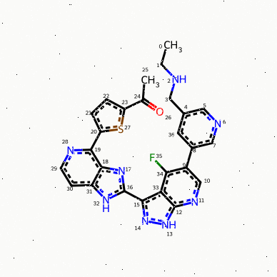 CCNCc1cncc(-c2cnc3[nH]nc(-c4nc5c(-c6ccc(C(C)=O)s6)nccc5[nH]4)c3c2F)c1